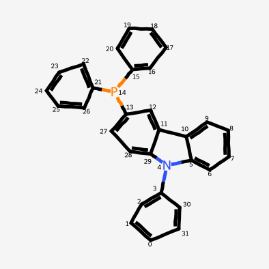 c1ccc(-n2c3ccccc3c3cc(P(c4ccccc4)c4ccccc4)ccc32)cc1